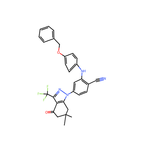 CC1(C)CC(=O)c2c(C(F)(F)F)nn(-c3ccc(C#N)c(Nc4ccc(OCc5ccccc5)cc4)c3)c2C1